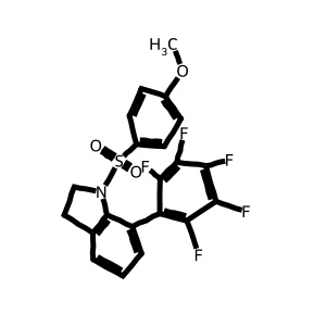 COc1ccc(S(=O)(=O)N2CCc3cccc(-c4c(F)c(F)c(F)c(F)c4F)c32)cc1